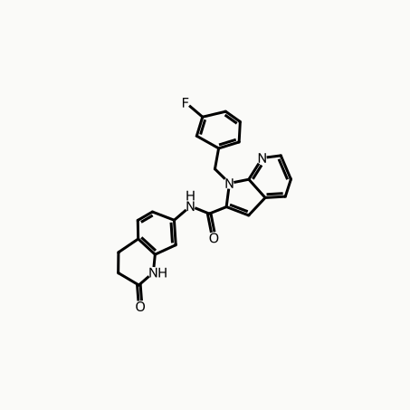 O=C1CCc2ccc(NC(=O)c3cc4cccnc4n3Cc3cccc(F)c3)cc2N1